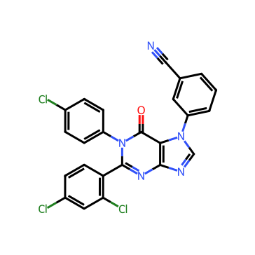 N#Cc1cccc(-n2cnc3nc(-c4ccc(Cl)cc4Cl)n(-c4ccc(Cl)cc4)c(=O)c32)c1